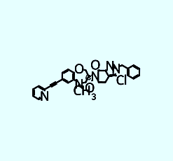 CN1C(=O)[C@@H](N2CCc3c(nn(Cc4ccccc4)c3Cl)C2=O)COc2ccc(C#Cc3ccccn3)cc21